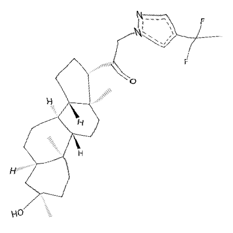 CC(F)(F)c1cnn(CC(=O)[C@H]2CC[C@H]3[C@@H]4CC[C@@H]5C[C@](C)(O)CC[C@]5(C)[C@H]4CC[C@]23C)c1